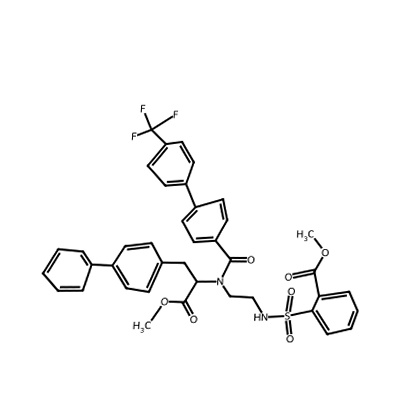 COC(=O)c1ccccc1S(=O)(=O)NCCN(C(=O)c1ccc(-c2ccc(C(F)(F)F)cc2)cc1)C(Cc1ccc(-c2ccccc2)cc1)C(=O)OC